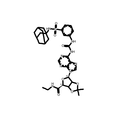 CCNC(=O)[C@H]1O[C@@H](n2cnc3c(NC(=O)Nc4cccc(S(=O)(=O)NC56CC7CC(CC(C7)C5)C6)c4)ncnc32)C2OC(C)(C)OC21